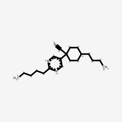 CCCCCc1ncc(C2(C#N)CCC(CCCC)CC2)cn1